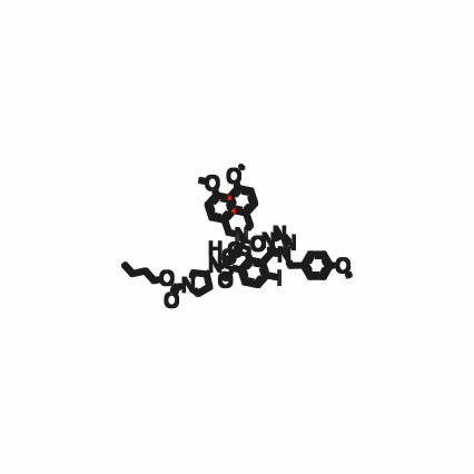 CCCCOC(=O)N1CC[C@@H](NS(=O)(=O)c2ccc(I)c(-c3nnnn3Cc3ccc(OC)cc3)c2S(=O)(=O)N(Cc2ccc(OC)cc2)Cc2ccc(OC)cc2)C1